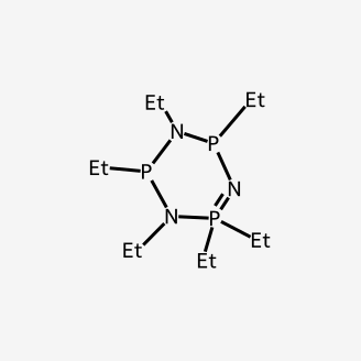 CCN1P(CC)N=P(CC)(CC)N(CC)P1CC